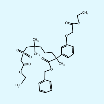 CCOC(=O)COc1cccc(C(C)(CCCC(C)(C)CS(=O)(=O)CC(=O)OCC)C(=O)OCc2ccccc2)c1